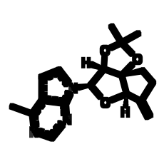 C=C1CC[C@]23OC(C)(C)O[C@H]2[C@H](n2ccc4c(C)ncnc42)O[C@H]13